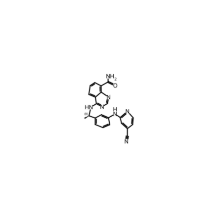 C[C@@H](Nc1ncnc2c(C(N)=O)cccc12)c1cccc(Nc2cc(C#N)ccn2)c1